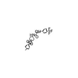 Cc1ccc(S(=O)(=O)N2CCC(NC(=O)C(O)CCc3ccc(C(F)(F)F)cc3)CC2)cc1